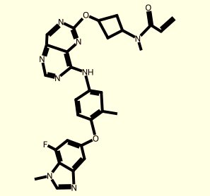 C=CC(=O)N(C)C1CC(Oc2ncc3ncnc(Nc4ccc(Oc5cc(F)c6c(c5)ncn6C)c(C)c4)c3n2)C1